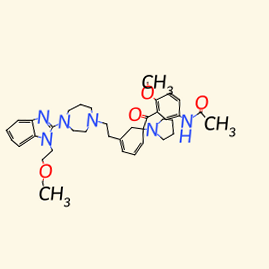 CCOCCn1c(N2CCCN(CCC3=CC=CC(C(=O)c4cc(NC(C)=O)ccc4OC)(N4CCCC4)C3)CC2)nc2ccccc21